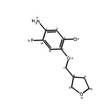 Nc1cc(Cl)c(OCC2CCOC2)cc1F